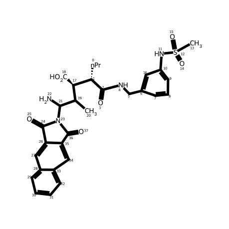 CCC[C@H](C(=O)NCc1cccc(NS(C)(=O)=O)c1)[C@H](C(=O)O)C(C)C(N)N1C(=O)c2cc3ccccc3cc2C1=O